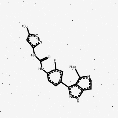 CC(C)(C)c1cc(NC(=O)Nc2ccc(-c3n[nH]c4ccnc(N)c34)cc2F)no1